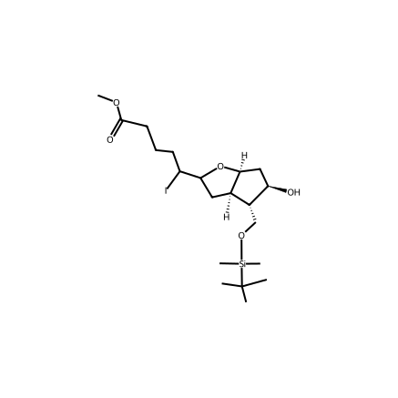 COC(=O)CCCC(I)C1C[C@@H]2[C@@H](CO[Si](C)(C)C(C)(C)C)[C@H](O)C[C@@H]2O1